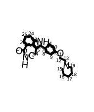 O=C1NCCc2c(-c3ccc(OCCN4CCCCC4)cc3)[nH]c3cccc1c23